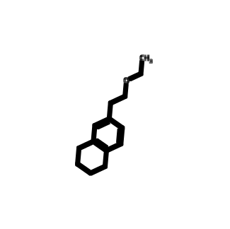 CCOCCc1ccc2c(c1)CCCC2